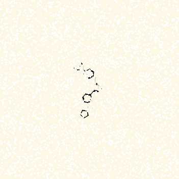 CCN(CC)c1ccc(Nc2ncc(-c3cccc(OC4CCCC4)c3)o2)cn1